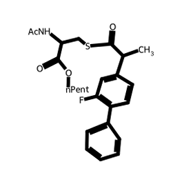 CCCCCOC(=O)C(CSC(=O)C(C)c1ccc(-c2ccccc2)c(F)c1)NC(C)=O